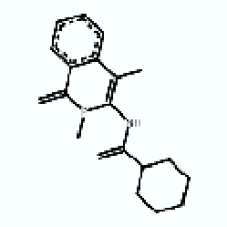 C=C(NC1=C(C)c2ccccc2C(=C)P1C)C1CCCCC1